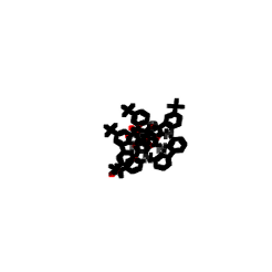 CC(C)(C)c1ccc2c(c1)B1c3c(cc(-n4c5c(-n6c7ccc(C(C)(C)C)cc7c7cc(C(C)(C)C)ccc76)cccc5c5cccc(-n6c7ccc(C(C)(C)C)cc7c7cc(C(C)(C)C)ccc76)c54)cc3-n3c4ccc(C(C)(C)C)cc4c4cc(C(C)(C)C)cc1c43)O2